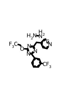 FC(F)(F)COc1nc(Cc2ccncc2)nc(-c2cccc(C(F)(F)F)c2)n1.NN